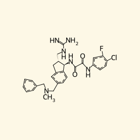 CN(Cc1ccccc1)Cc1ccc2c(c1)C[C@H](CNC(=N)N)[C@H]2NC(=O)C(=O)Nc1ccc(Cl)c(F)c1